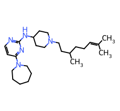 CC(C)=CCCC(C)CCN1CCC(Nc2nccc(N3CCCCCC3)n2)CC1